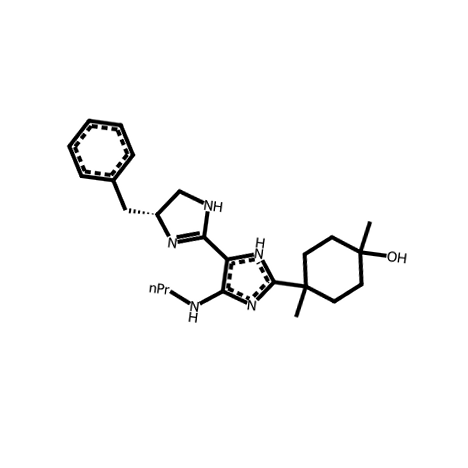 CCCNc1nc(C2(C)CCC(C)(O)CC2)[nH]c1C1=N[C@H](Cc2ccccc2)CN1